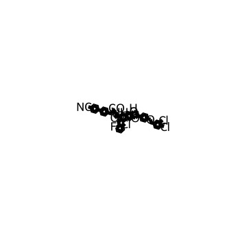 N#Cc1ccc(-c2ccc(C[C@H](NC(=O)[C@@H]3Cc4cc5c(cc4CN3Cc3c(F)cccc3Cl)OC(c3ccc(OCc4ccc(Cl)c(Cl)c4)cc3)CO5)C(=O)O)cc2)cc1